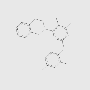 CCc1nc(Nc2ccc(F)cc2C)nc(N2CCc3ccccc3C2)c1C.Cl